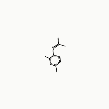 CC(C)=Nc1ccc(C)cc1C